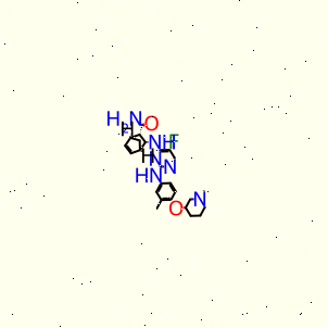 Cc1cc(Nc2ncc(F)c(N[C@H]3[C@@H](C(N)=O)[C@@H]4C=C[C@H]3C4)n2)ccc1OC1CCCN(C)C1